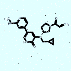 C=CC(=O)N1CC[C@@H](N(CC2CC2)c2cc(-c3ccnc(NC)c3)c[nH]c2=O)C1